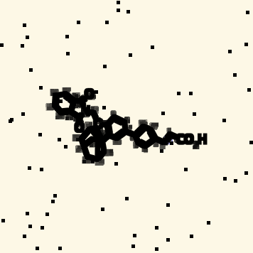 O=C(O)/C=C/c1ccc(-c2ccc(OCN3C(=O)c4ccccc4C3=O)c(C34CC5CC(CC(C5)C3)C4)c2)cc1